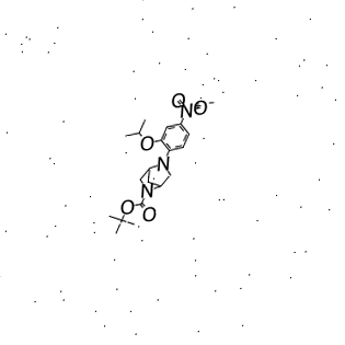 CC(C)Oc1cc([N+](=O)[O-])ccc1N1CC2CC1CN2C(=O)OC(C)(C)C